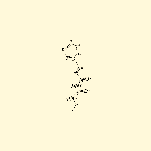 CCNC(=O)NC(=O)/C=C/c1ccccc1